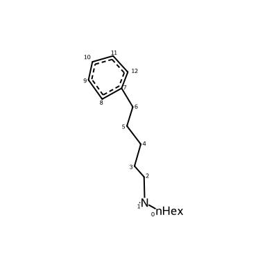 CCCCCC[N]CCCCCc1ccccc1